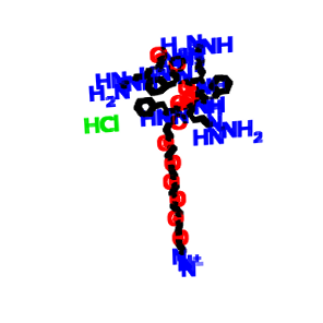 Cl.[N-]=[N+]=NCCOCCOCCOCCOCCOCCOCCC(=O)N[C@@H](CC1CCCCC1)C(=O)N[C@H](CCCNC(=N)N)C(=O)N[C@@H](CC1CCCCC1)C(=O)N[C@H](CCCNC(=N)N)C(=O)N[C@@H](CC1CCCCC1)C(=O)N[C@H](CCCNC(=N)N)C(N)=O